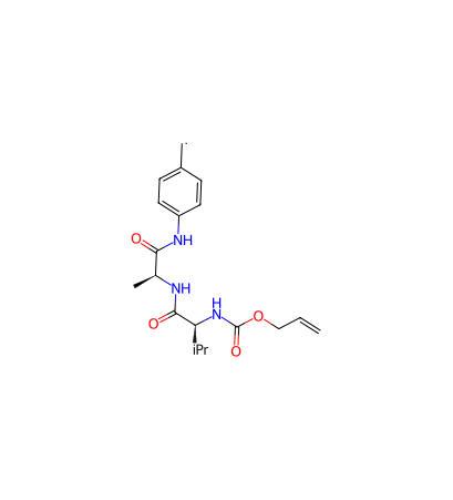 [CH2]c1ccc(NC(=O)[C@H](C)NC(=O)[C@@H](NC(=O)OCC=C)C(C)C)cc1